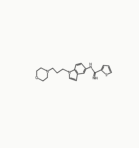 N=C(Nc1ccc2c(ccn2CCCN2CCOCC2)c1)c1cccs1